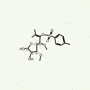 CO[C@@H]1[C@@H](O)[C@@H](O)O[C@@H]1[C@H](OC)C(OS(=O)(=O)c1ccc(C)cc1)=C(C)C